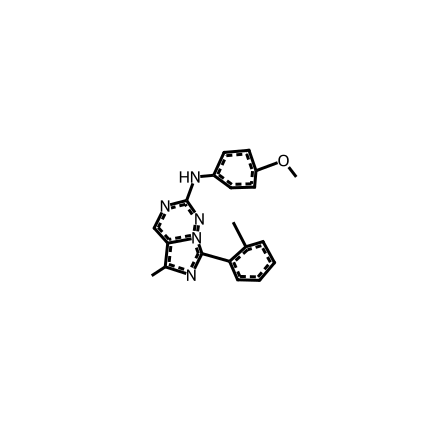 COc1ccc(Nc2ncc3c(C)nc(-c4ccccc4C)n3n2)cc1